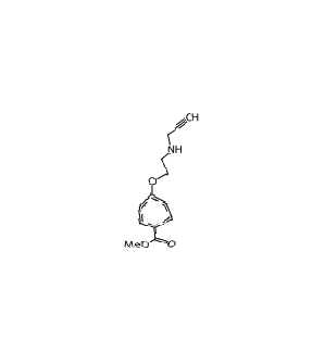 C#CCNCCOc1ccc(C(=O)OC)cc1